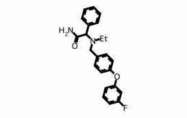 CCN(Cc1ccc(Oc2cccc(F)c2)cc1)C(C(N)=O)c1ccccc1